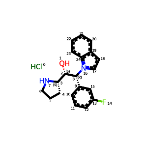 Cl.O[C@@H]([C@@H]1CCCN1)[C@@H](c1cccc(F)c1)n1ccc2ccccc21